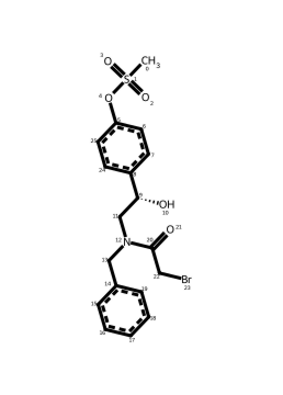 CS(=O)(=O)Oc1ccc([C@H](O)CN(Cc2ccccc2)C(=O)CBr)cc1